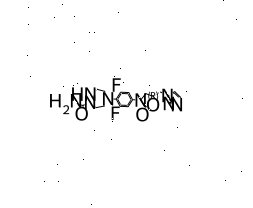 NC(=O)N1CCN(c2c(F)cc(N3C[C@H](Cn4ccnn4)OC3=O)cc2F)CCN1